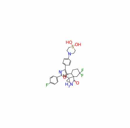 N#CC1(C2(C(N)=O)CC(F)(F)CCC2c2oc(-c3ccc(F)cc3)nc2-c2ccc(N3CCS(O)(O)CC3)cc2)CC1